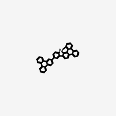 c1ccc2c(c1)c1ccccc1c1cc(-c3ccc4c(c3)c3ccc5c6ccccc6c6cccc7c6c5c3n47)ccc21